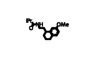 COc1ccc2c(c1)C(CCNC(=O)C(C)C)CCC2